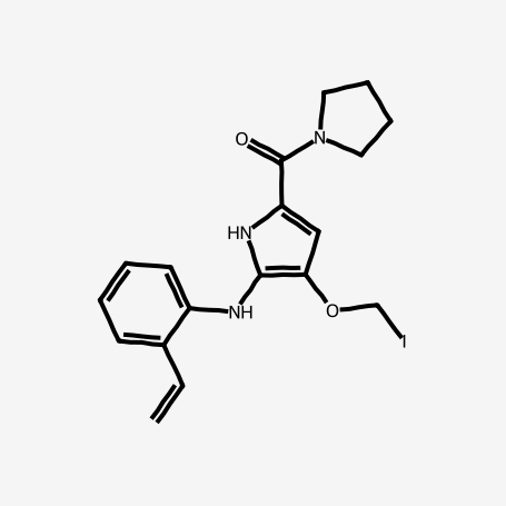 C=Cc1ccccc1Nc1[nH]c(C(=O)N2CCCC2)cc1OCI